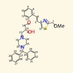 COCc1nc(/C=C/c2ccccc2OCC(O)CN2CCN(C(c3ccccc3)c3ccccc3)CC2)cs1